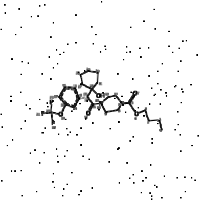 CCCCOC(=O)N1CCN(C(=O)[C@H](c2cccc(OC(F)(F)F)c2)C2(O)CCCCC2)CC1